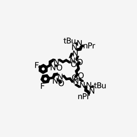 CCCc1cc(N2CC[N+](CCCCn3ccc(-c4cccc(F)c4)nc3=O)(OC(=O)/C=C/C(=O)O[N+]3(CCCCn4ccc(-c5cccc(F)c5)nc4=O)CCN(c4cc(CCC)nc(C(C)(C)C)n4)CC3)CC2)nc(C(C)(C)C)n1